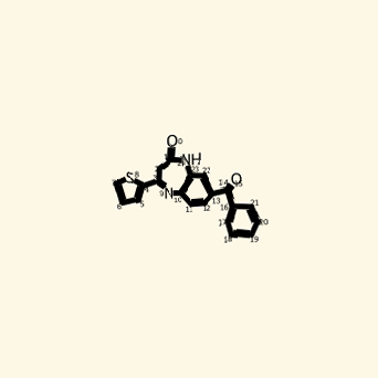 O=C1CC(c2cccs2)=Nc2ccc(C(=O)c3ccccc3)cc2N1